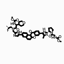 COC(=O)NCC(=O)N1CCC[C@H]1c1nc(C)c(-c2ccc3c(=O)c4c(ccc5cc(-c6cnc(CN(C[C@@H](C)F)C(=O)C(NC(=O)OC)C7CCOCC7)[nH]6)ccc54)oc3c2)[nH]1